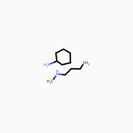 CCCCNC.NC1CCCCC1